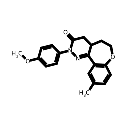 COc1ccc(N2N=C3c4cc(C)ccc4OCCC3CC2=O)cc1